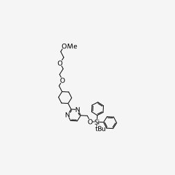 COCCOCCOCC1CCC(c2nccc(CO[Si](c3ccccc3)(c3ccccc3)C(C)(C)C)n2)CC1